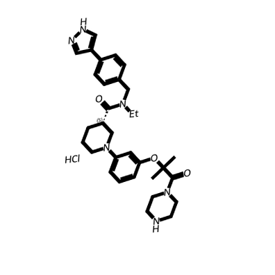 CCN(Cc1ccc(-c2cn[nH]c2)cc1)C(=O)[C@H]1CCCN(c2cccc(OC(C)(C)C(=O)N3CCNCC3)c2)C1.Cl